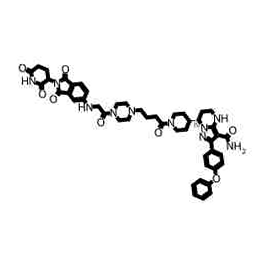 NC(=O)c1c(-c2ccc(Oc3ccccc3)cc2)nn2c1NCC[C@H]2C1CCN(C(=O)CCCN2CCN(C(=O)CNc3ccc4c(c3)C(=O)N(C3CCC(=O)NC3=O)C4=O)CC2)CC1